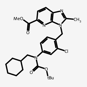 COC(=O)c1ccc2nc(C)n(Cc3ccc(N(CC4CCCCC4)C(=O)OC(C)(C)C)cc3Cl)c2n1